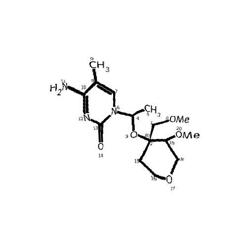 COC[C@]1(OC(C)n2cc(C)c(N)nc2=O)CCOCC1OC